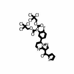 O=C(c1cccs1)c1cnn2c(-c3ccc(F)c(N(C(=O)OCC(Cl)(Cl)Cl)C(=O)OCC(Cl)(Cl)Cl)c3)ccnc12